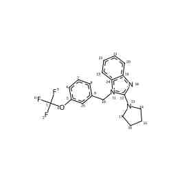 FC(F)(F)Oc1cccc(Cn2c(N3CCCC3)nc3ccccc32)c1